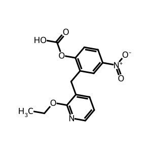 CCOc1ncccc1Cc1cc([N+](=O)[O-])ccc1OC(=O)O